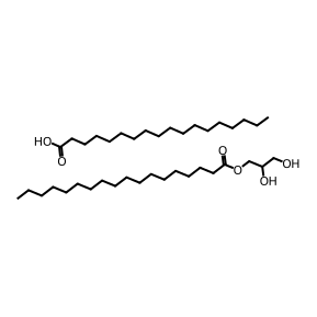 CCCCCCCCCCCCCCCCCC(=O)O.CCCCCCCCCCCCCCCCCC(=O)OCC(O)CO